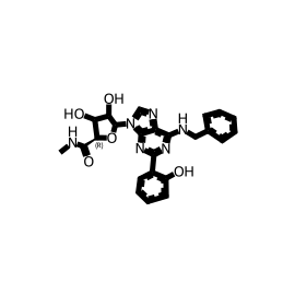 CNC(=O)[C@@H]1OC(n2cnc3c(NCc4ccccc4)nc(-c4ccccc4O)nc32)C(O)C1O